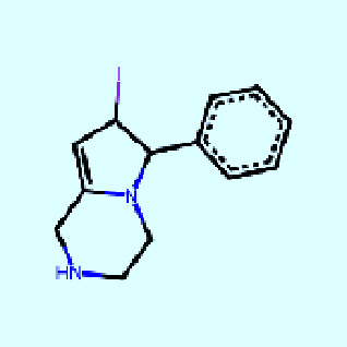 IC1C=C2CNCCN2C1c1ccccc1